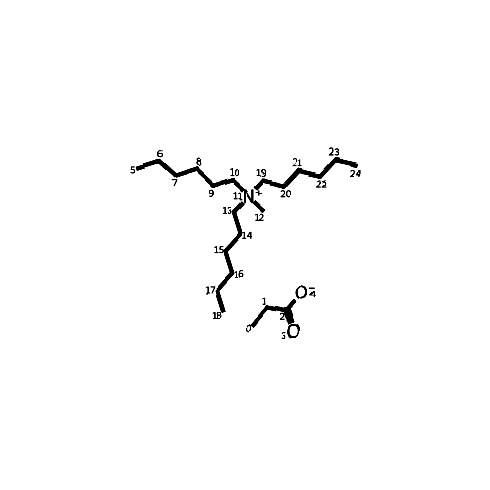 CCC(=O)[O-].CCCCCC[N+](C)(CCCCCC)CCCCCC